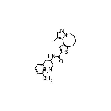 Bc1cccc(CC(CN)NC(=O)c2cc3c(s2)CCCCn2ncc(C)c2-3)c1